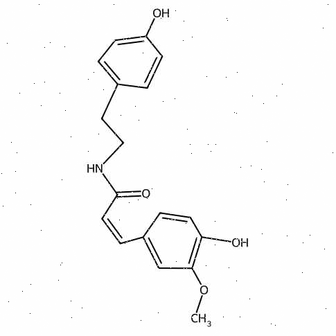 COc1cc(/C=C\C(=O)NCCc2ccc(O)cc2)ccc1O